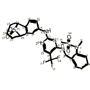 CN(c1ccccc1CNc1nc(Nc2ccc3c(c2)C2CCCC3S2(=O)=O)ncc1C(F)(F)F)S(C)(=O)=O